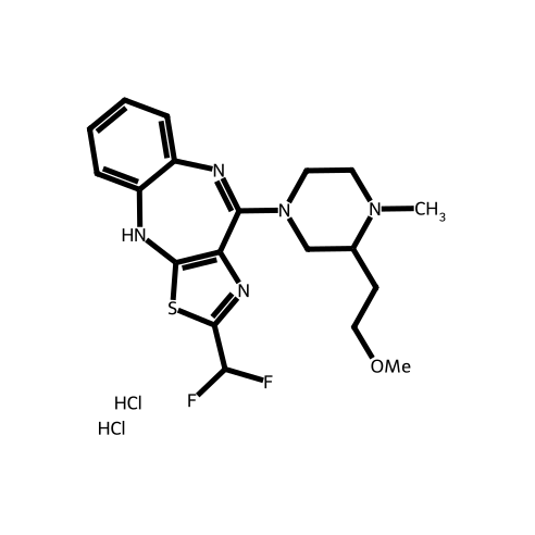 COCCC1CN(C2=Nc3ccccc3Nc3sc(C(F)F)nc32)CCN1C.Cl.Cl